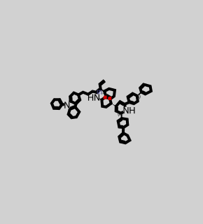 C=C/C(=C(\CCCC1C=c2c3c(n(C4=CCCC=C4)c2=CC1)C=CCC3)N[C@H]1CC[C@@H](C2=C[C@H](C3=CC=C(C4=CC=CCC4)CC3)NC(C3=CC[C@H](C4=CCCC=C4)C=C3)=C2)CC1)[C@@H]1C=CCCC1